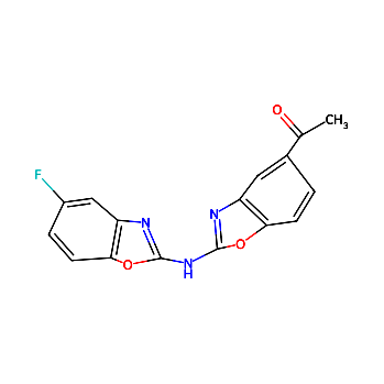 CC(=O)c1ccc2oc(Nc3nc4cc(F)ccc4o3)nc2c1